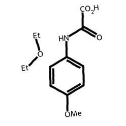 CCOCC.COc1ccc(NC(=O)C(=O)O)cc1